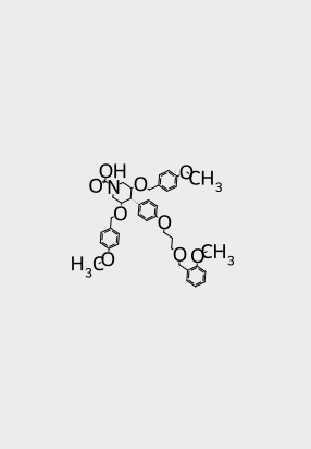 COc1ccc(CO[C@H]2CN(C(=O)O)C[C@@H](OCc3ccc(OC)cc3)[C@H]2c2ccc(OCCCOCc3ccccc3OC)cc2)cc1